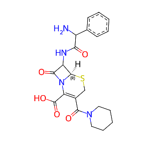 NC(C(=O)NC1C(=O)N2C(C(=O)O)=C(C(=O)N3CCCCC3)CS[C@H]12)c1ccccc1